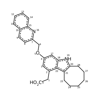 O=C(O)Cc1cc(OCc2ccc3ccccc3n2)cc2[nH]c3c(c12)CCCCCC3